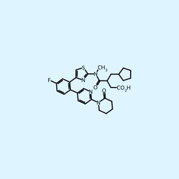 CN(C(=O)C(CC(=O)O)CC1CCCC1)c1nc(-c2cc(F)ccc2-c2ccc(N3CCCCC3=O)nc2)cs1